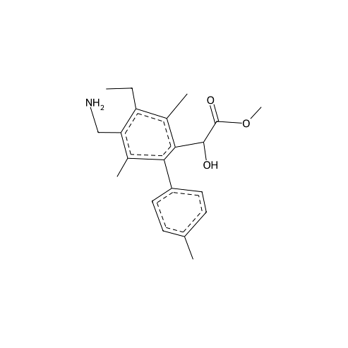 CCc1c(C)c(C(O)C(=O)OC)c(-c2ccc(C)cc2)c(C)c1CN